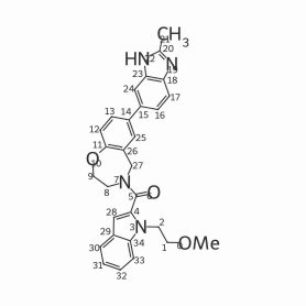 COCCn1c(C(=O)N2CCOc3ccc(-c4ccc5nc(C)[nH]c5c4)cc3C2)cc2ccccc21